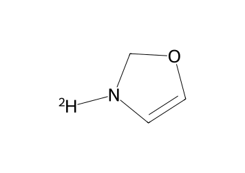 [2H]N1C=COC1